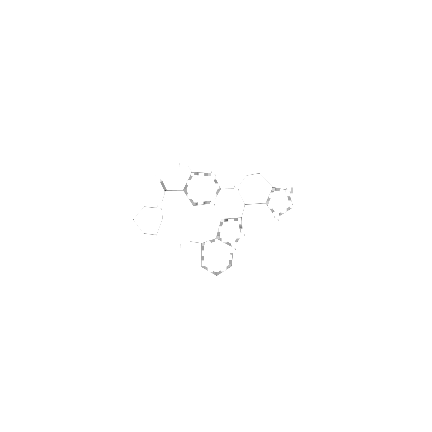 Cc1nc(N2CCc3[nH]cnc3C2c2cc3c(C)cccn3n2)ncc1C(=O)N1CCCCC1